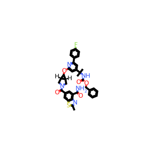 Cc1nc2c(C(N)=O)cc(C(=O)N3C[C@@H]4C(Oc5cc(C(C)(C)NC(=O)OCc6ccccc6)cc(-c6ccc(F)cc6)n5)[C@@H]4C3)cc2s1